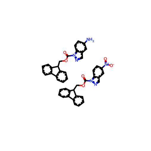 Nc1ccc2c(cnn2C(=O)OCC2c3ccccc3-c3ccccc32)c1.O=C(OCC1c2ccccc2-c2ccccc21)n1ncc2cc([N+](=O)[O-])ccc21